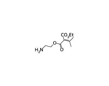 CCOC(=O)C(C(=O)OCCN)=C(C)C